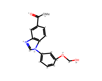 COC(=O)c1ccc2c(c1)ncn2-c1cccc(OCO)c1